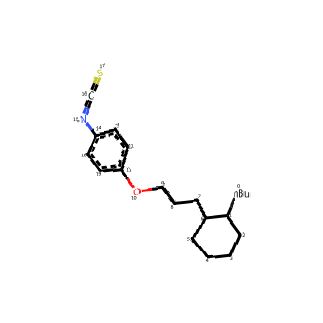 CCCCC1CCCCC1CCCOc1ccc(N=C=S)cc1